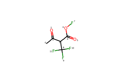 CC(=O)C(C(=O)OF)C(F)(F)F